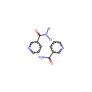 CCN(CC)C(=O)c1cccnc1.NC(=O)c1cccnc1